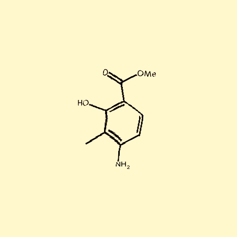 COC(=O)c1ccc(N)c(C)c1O